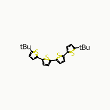 CC(C)(C)c1ccc(-c2ccc(-c3ccc(-c4ccc(C(C)(C)C)s4)s3)s2)s1